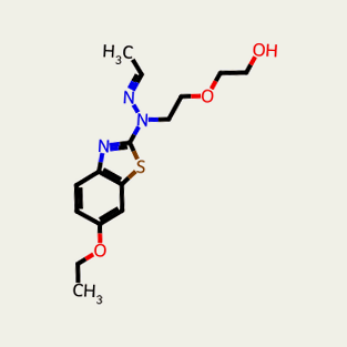 C/C=N/N(CCOCCO)c1nc2ccc(OCC)cc2s1